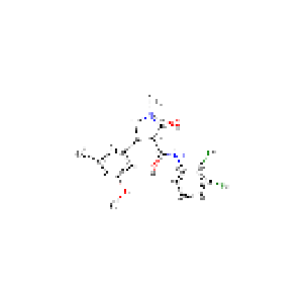 CCOc1cc(C)cc(C2CN(C)C(=O)C2C(=O)Nc2cccc(F)c2F)c1